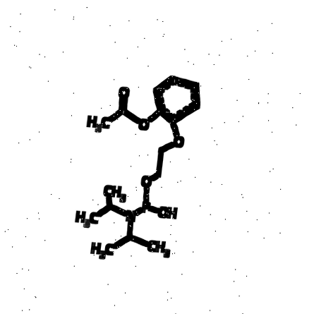 CC(=O)Oc1ccccc1OCCOP(O)N(C(C)C)C(C)C